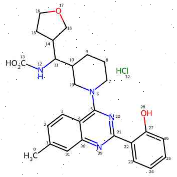 Cc1ccc2c(N3CCCC(C(NC(=O)O)C4CCOC4)C3)nc(-c3ccccc3O)nc2c1.Cl